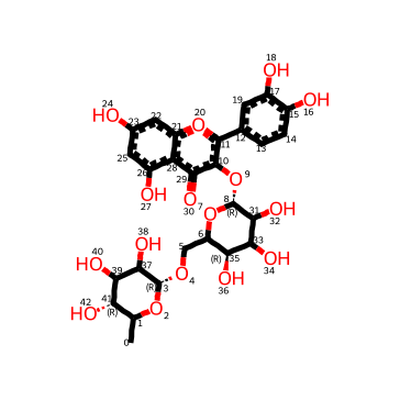 CC1O[C@@H](OCC2O[C@H](Oc3c(-c4ccc(O)c(O)c4)oc4cc(O)cc(O)c4c3=O)C(O)C(O)[C@H]2O)C(O)C(O)[C@H]1O